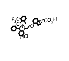 C[C@H](CCOc1cccc2c1ccn2CC(=O)O)N(Cc1cccc(C(F)(F)F)c1Cl)CC(c1ccccc1)c1ccccc1.Cl